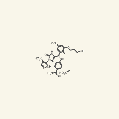 CC(=O)O.COc1cc(OCCCO)c(F)c([C@H](Nc2ccc(C(=N)N)cc2)c2nn(-c3[nH]ncc3C(=O)O)c(=O)[nH]2)c1